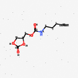 CCCCCCCCCCCCNC(=O)OCC1COC(=O)O1